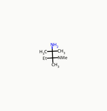 CCC(C)(NC)C(C)(C)N